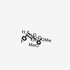 COC(=O)c1ccc(OC)cc1OCC(=O)N1CC(C)N(Cc2ccc(F)cc2)CC1C